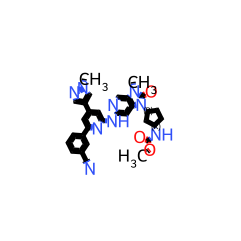 COC(=O)N[C@@H]1CC[C@@H](n2c(=O)n(C)c3cnc(Nc4cc(-c5cnn(C)c5)cc(-c5cccc(C#N)c5)n4)cc32)C1